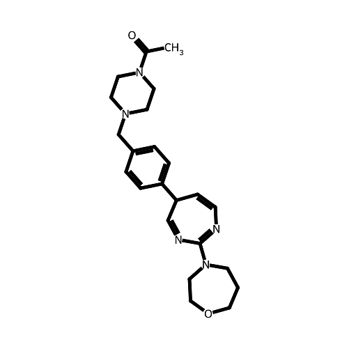 CC(=O)N1CCN(Cc2ccc(C3C=CN=C(N4CCCOCC4)N=C3)cc2)CC1